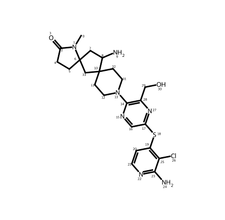 CN1C(=O)CCC12CC(N)C1(CCN(c3ncc(Sc4ccnc(N)c4Cl)nc3CO)CC1)C2